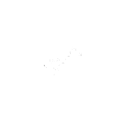 CCCN(CCCN=O)C(=O)C1=CC2=CC=C(C3=CC=C(C(=O)N4CC[C@@H](N=O)C4)CC3)CC2N=C(N)C1